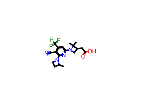 CC1CCN1c1nc(N2CC(CC(=O)O)C2(C)C)cc(C(F)(F)F)c1C#N